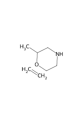 C=C.CC1CNCCO1